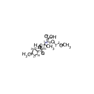 COCCOC/C(=C\C(C)(C)CS(=O)(=O)c1ccc(C)cc1)C(=O)O